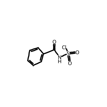 O=C(NS(=O)(=O)Cl)c1c[c]ccc1